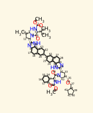 COC(=O)N[C@H](C(=O)N1C[C@@H](C)C[C@H]1c1nc2ccc3cc(-c4ccc5c(ccc6nc([C@@H]7C[C@H](COCC8CCCC8)CN7C(=O)[C@H](NC(=O)OC)c7ccccc7)[nH]c65)c4)ccc3c2[nH]1)C(C)C